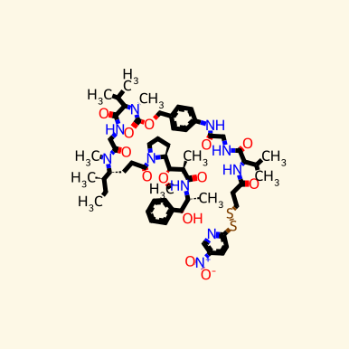 CC[C@H](C)[C@@H](CCC(=O)N1CCC[C@H]1[C@H](OC)[C@@H](C)C(=O)N[C@H](C)[C@@H](O)c1ccccc1)N(C)C(=O)CNC(=O)C(C(C)C)N(C)C(=O)OCc1ccc(NC(=O)CNC(=O)C(NC(=O)CCSSc2ccc([N+](=O)[O-])cn2)C(C)C)cc1